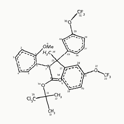 COc1ccccc1N(C(=O)OC(C)(C)C(Cl)(Cl)Cl)C(C)(c1cccc(OC(F)(F)F)c1)c1cccc(OC(F)(F)F)c1